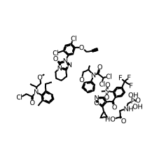 C#CCOc1cc(-n2nc3n(c2=O)CCCC3)c(Cl)cc1Cl.CC1COc2ccccc2N1C(=O)C(Cl)Cl.CCc1cccc(C)c1N(C(=O)CCl)C(C)COC.CS(=O)(=O)c1cc(C(F)(F)F)ccc1C(=O)c1cnoc1C1CC1.O=C(O)CNCP(=O)(O)O